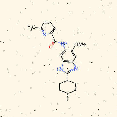 COc1cc2nc(C3CCC(C)CC3)[nH]c2cc1NC(=O)c1cccc(C(F)(F)F)n1